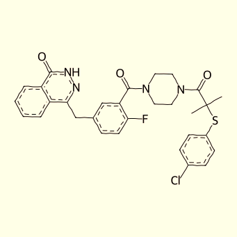 CC(C)(Sc1ccc(Cl)cc1)C(=O)N1CCN(C(=O)c2cc(Cc3n[nH]c(=O)c4ccccc34)ccc2F)CC1